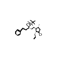 C=CC[C@H]1C(=O)C[C@@H](C)[C@@H]1CC[C@H](CCc1ccccc1)O[Si](C)(C)C(C)(C)C